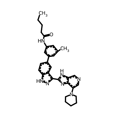 CCCCC(=O)Nc1cc(C)cc(-c2ccc3[nH]nc(-c4nc5c(N6CCCCC6)cncc5[nH]4)c3c2)c1